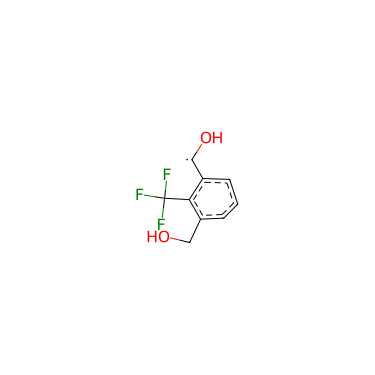 O[CH]c1cccc(CO)c1C(F)(F)F